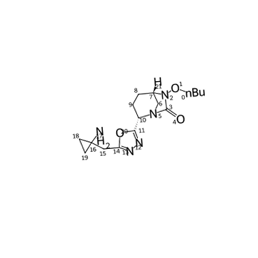 CCCCON1C(=O)N2C[C@@H]1CC[C@H]2c1nnc(CC2(N)CC2)o1